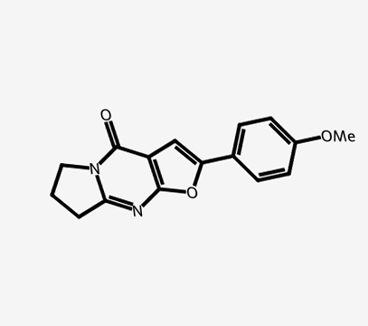 COc1ccc(-c2cc3c(=O)n4c(nc3o2)CCC4)cc1